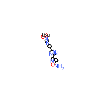 CC(C)(C)OC(=O)N1CCN(c2ccc(-c3cnc4c(-c5ccnc6c(C(N)=O)cccc56)cnn4c3)cc2)CC1